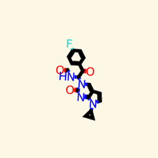 O=CNC(C(=O)c1ccc(F)cc1)n1cc2ccn(C3CC3)c2nc1=O